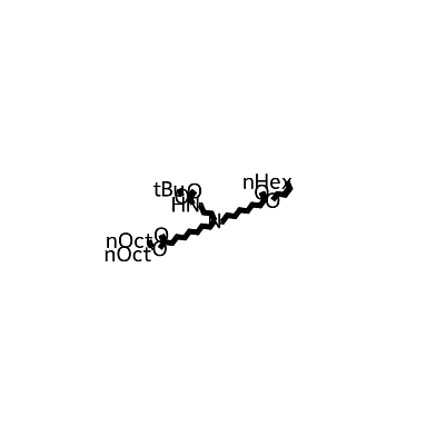 CCCCCC/C=C\COC(=O)CCCCCCCN(CCCCCCCC(=O)OC(CCCCCCCC)CCCCCCCC)CCCNC(=O)OC(C)(C)C